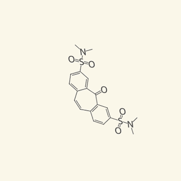 CN(C)S(=O)(=O)c1ccc2ccc3ccc(S(=O)(=O)N(C)C)cc3c(=O)c2c1